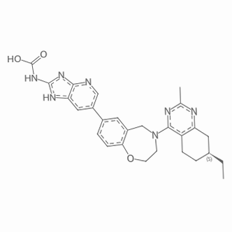 CC[C@H]1CCc2c(nc(C)nc2N2CCOc3ccc(-c4cnc5nc(NC(=O)O)[nH]c5c4)cc3C2)C1